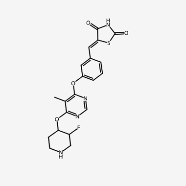 Cc1c(Oc2cccc(/C=C3\SC(=O)NC3=O)c2)ncnc1OC1CCNCC1F